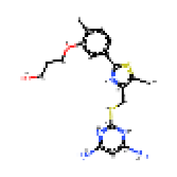 CCCc1sc(-c2ccc(C)c(OCCCO)c2)nc1CSc1nc(N)cc(N)n1